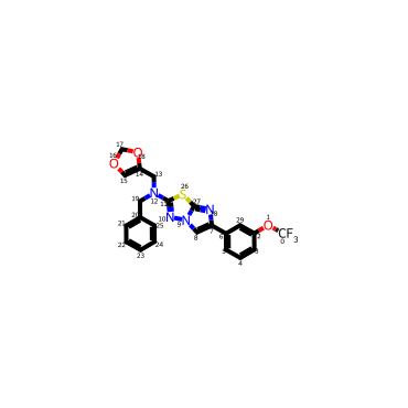 FC(F)(F)Oc1cccc(-c2cn3nc(N(CC4=COCO4)Cc4ccccc4)sc3n2)c1